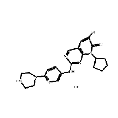 Cl.O=c1c(Br)cc2cnc(Nc3ccc(N4CCNCC4)nc3)nc2n1C1CCCC1